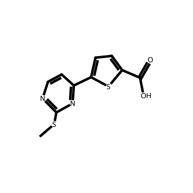 CSc1nccc(-c2ccc(C(=O)O)s2)n1